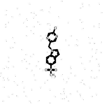 CS(=O)(=O)c1ccc2c(ccn2Cc2cnc(Cl)cn2)c1